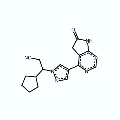 N#CCC(C1CCCC1)n1cc(-c2ncnc3c2CC(=O)N3)cn1